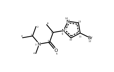 CC(C)N(C)C(=O)C(C)n1cc(Br)cn1